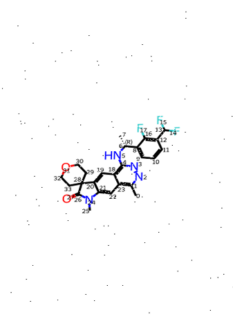 Cc1nnc(N[C@H](C)c2cccc(C(F)F)c2F)c2cc3c(cc12)N(C)C(=O)C31CCOCC1